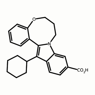 O=C(O)c1ccc2c(C3CCCCC3)c3n(c2c1)CCCOc1ccccc1-3